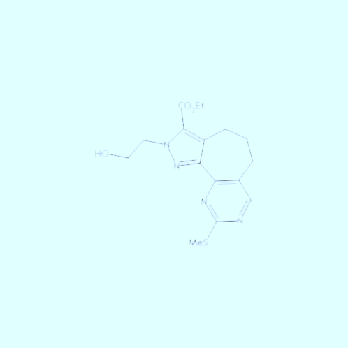 CCOC(=O)c1c2c(nn1CCO)-c1nc(SC)ncc1CCC2